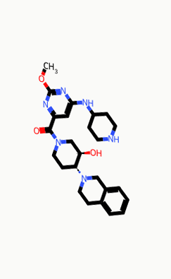 COc1nc(NC2CCNCC2)cc(C(=O)N2CC[C@@H](N3CCc4ccccc4C3)[C@H](O)C2)n1